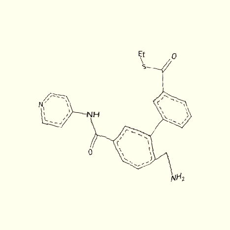 CCSC(=O)c1cccc(-c2cc(C(=O)Nc3ccncc3)ccc2CN)c1